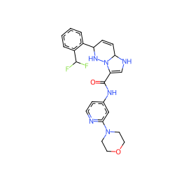 O=C(Nc1ccnc(N2CCOCC2)c1)C1=CNC2C=CC(c3ccccc3C(F)F)NN12